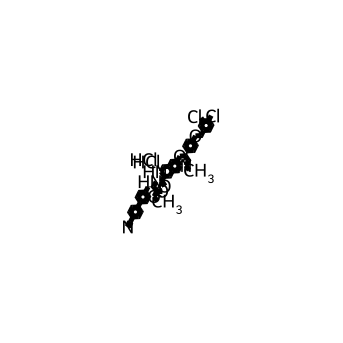 COC(=O)[C@H](Cc1ccc(-c2ccc(C#N)cc2)cc1)NC(=O)C1Cc2cc3c(cc2CN1)O[C@@H](c1ccc(OCc2ccc(Cl)c(Cl)c2)cc1)CN3C.Cl.Cl